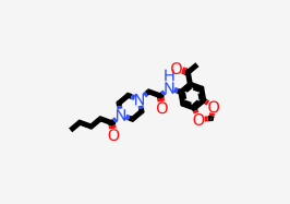 CCCCC(=O)N1CCN(CC(=O)Nc2cc3c(cc2C(C)=O)OCO3)CC1